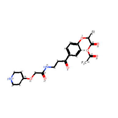 CCC(Oc1ccc(C(=O)CCNC(=O)COC2CCNCC2)cc1)C(=O)OC(=O)C(F)(F)F